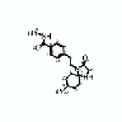 CCCNC(=O)c1ccc(CCN2C(=O)CNC23CCC(C(C)C)CC3)cc1